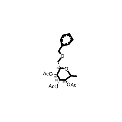 CC(=O)O[C@@H]1[C@H](OC(C)=O)[C@H](COCc2ccccc2)OC(C)[C@H]1OC(C)=O